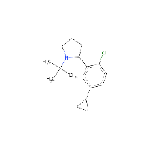 CC(C)(C)N1CCCC1c1cc(C2CC2)ccc1Cl